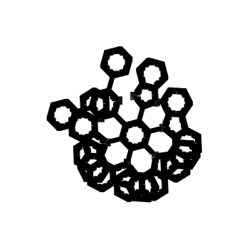 c1ccc(-c2cc(-c3ccccc3)nc(-c3c(-c4nc5ccccc5o4)c(-n4c5ccccc5c5ccc6ccccc6c54)c(-n4c5ccccc5c5ccc6ccccc6c54)c(-n4c5ccccc5c5ccc6ccccc6c54)c3-n3c4ccccc4c4ccc5ccccc5c43)n2)cc1